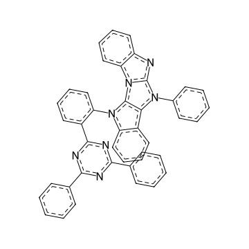 c1ccc(-c2nc(-c3ccccc3)nc(-c3ccccc3-n3c4ccccc4c4c3n3c5ccccc5nc3n4-c3ccccc3)n2)cc1